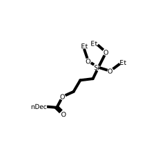 CCCCCCCCCCC(=O)OCCC[Si](OCC)(OCC)OCC